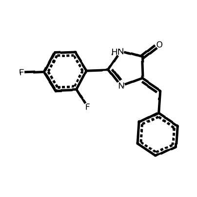 O=C1NC(c2ccc(F)cc2F)=NC1=Cc1ccccc1